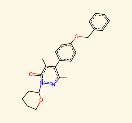 Cc1nn(C2CCCCO2)c(=O)c(C)c1-c1ccc(OCc2ccccc2)cc1